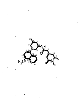 C=C1CC(CC(=O)NC2CC(C)CN(c3ccc(C(F)(F)F)c4ncccc34)C2)CC(C)N1C